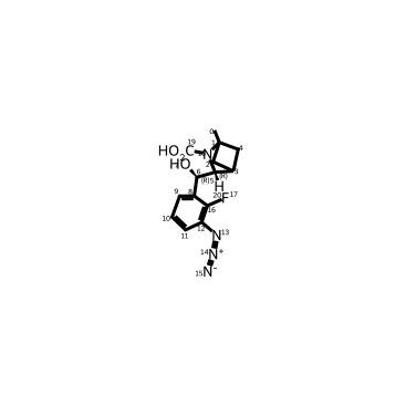 CC12CC(C1)[C@H]([C@H](O)c1cccc(N=[N+]=[N-])c1F)N2C(=O)O